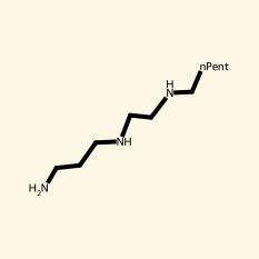 [CH2]CCCCCNCCNCCCN